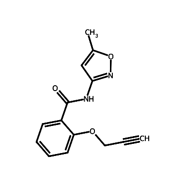 C#CCOc1ccccc1C(=O)Nc1cc(C)on1